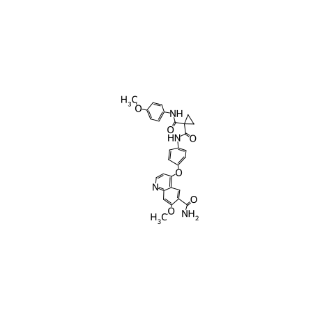 COc1ccc(NC(=O)C2(C(=O)Nc3ccc(Oc4ccnc5cc(OC)c(C(N)=O)cc45)cc3)CC2)cc1